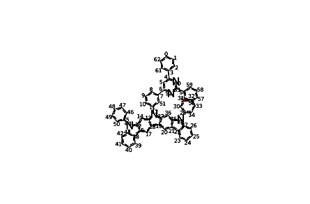 c1ccc(-c2cc(-c3cccc(-n4c5cc6c(cc5c5cc7c8ccccc8n(-c8ccccc8)c7cc54)c4ccccc4n6-c4ccccc4)c3)nc(-c3ccccc3)n2)cc1